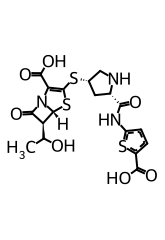 CC(O)[C@H]1C(=O)N2C(C(=O)O)=C(S[C@@H]3CN[C@H](C(=O)Nc4ccc(C(=O)O)s4)C3)S[C@H]12